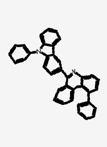 c1ccc(-c2cccc3nc(-c4ccc5c(c4)c4ccccc4n5-c4ccccc4)c4ccccc4c23)cc1